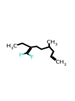 C=CCC(C)CCC(CC)=C(F)F